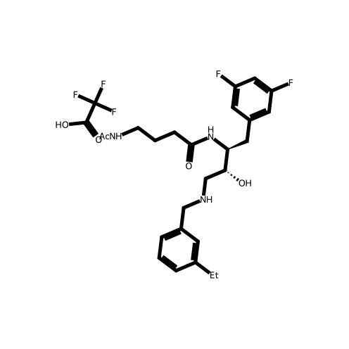 CCc1cccc(CNC[C@@H](O)[C@H](Cc2cc(F)cc(F)c2)NC(=O)CCCNC(C)=O)c1.O=C(O)C(F)(F)F